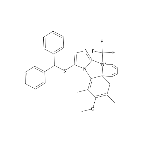 COC1=C(C)CC23C=CC=C[N+]2(C(F)(F)F)c2ncc(SC(c4ccccc4)c4ccccc4)n2C3=C1C